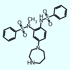 CN(c1cc(N2CCCNCC2)ccc1NS(=O)(=O)c1ccccc1)S(=O)(=O)c1ccccc1